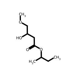 CCC(C)OC(=O)CC(O)COC